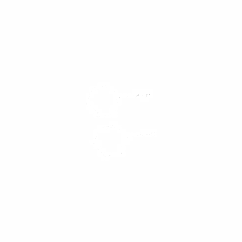 O=Cc1ccccc1.O=S(=O)(O)c1ccccc1